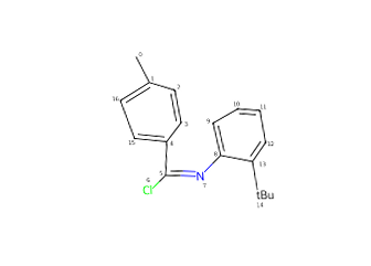 Cc1ccc(/C(Cl)=N\c2ccccc2C(C)(C)C)cc1